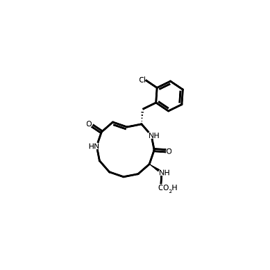 O=C(O)N[C@H]1CCCCNC(=O)/C=C/[C@H](Cc2ccccc2Cl)NC1=O